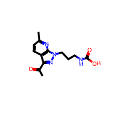 CC(=O)c1nn(CCCNC(=O)O)c2nc(C)ccc12